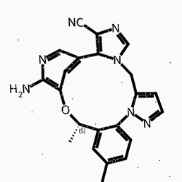 Cc1ccc2c(c1)[C@H](C)Oc1cc(cnc1N)-c1c(C#N)ncn1Cc1ccnn1-2